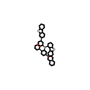 c1ccc(-c2ccc(-c3ccc4ccccc4c3)cc2N(c2cccc(-c3ccc4c(c3)oc3ccccc34)c2)c2cccc3oc4ccccc4c23)cc1